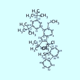 CCc1ccc2c(c1-c1cc(C(C)(C)C)cc(C(C)(C)C)c1)C=C(C(C)(C)C)[CH]2[Zr]([Cl])([Cl])[c]1cccc2c1[SiH2]c1ccccc1-2